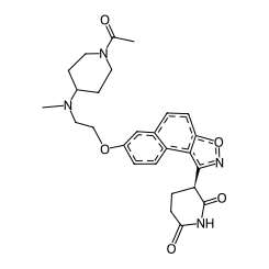 CC(=O)N1CCC(N(C)CCOc2ccc3c(ccc4onc([C@@H]5CCC(=O)NC5=O)c43)c2)CC1